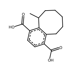 CC1CCCCCc2c(C(=O)O)ccc(C(=O)O)c21